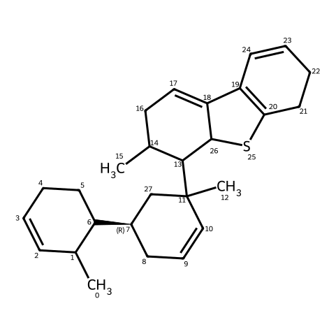 CC1C=CCCC1[C@@H]1CC=CC(C)(C2C(C)CC=C3C4=C(CCC=C4)SC32)C1